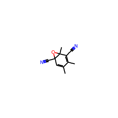 CC1=CC2(C#N)OC2(C)C(C#N)=C1C